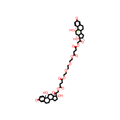 C[C@H]1CC2C3CCC4=CC(=O)C=C[C@]4(C)[C@@]3(F)[C@@H](O)C[C@]2(C)[C@@]1(O)C(=O)COC(=O)CCC(=O)OCCOCCOCCOC(=O)CCC(=O)OCC(=O)[C@@]1(O)CCC2C3CCC4=CC(=O)C=C[C@]4(C)C3[C@@H](O)C[C@@]21C